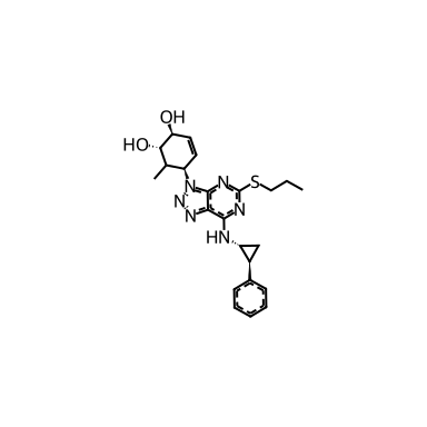 CCCSc1nc(N[C@@H]2C[C@H]2c2ccccc2)c2nnn([C@@H]3C=C[C@H](O)[C@@H](O)C3C)c2n1